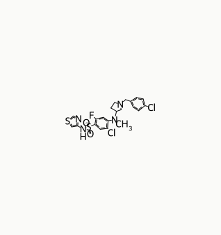 CN(c1cc(F)c(S(=O)(=O)Nc2cscn2)cc1Cl)C1CCN(Cc2ccc(Cl)cc2)C1